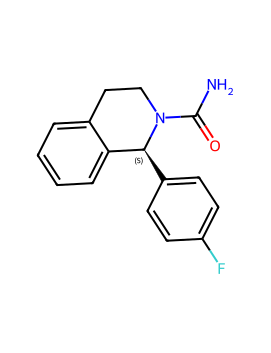 NC(=O)N1CCc2ccccc2[C@@H]1c1ccc(F)cc1